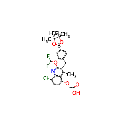 Cc1c(Cc2ccc(B3OC(C)(C)C(C)(C)O3)cc2)c(OC(F)F)nc2c(Cl)ccc(OCC(=O)O)c12